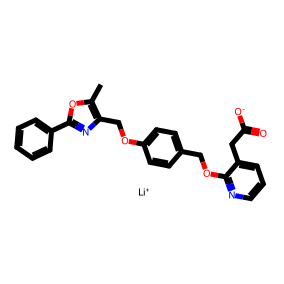 Cc1oc(-c2ccccc2)nc1COc1ccc(COc2ncccc2CC(=O)[O-])cc1.[Li+]